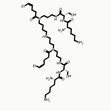 CC/C=C\CCC(=O)N(CCCCNCCCN(CCCNC(=O)[C@H](CO)NC(=O)[C@@H](N)CCCCN)C(=O)CC/C=C\CC)CCCNC(=O)[C@H](CO)NC(=O)[C@@H](N)CCCCN